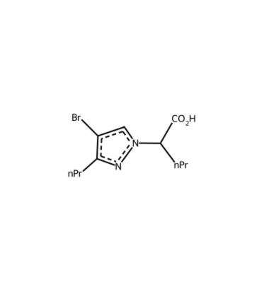 CCCc1nn(C(CCC)C(=O)O)cc1Br